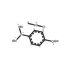 COc1ccc(P(C(C)(C)C)C(C)(C)C)cc1.[CH3][Pd][Cl]